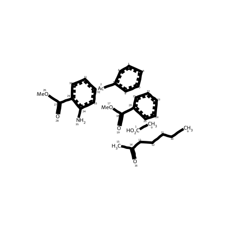 CC(=O)O.CC(=O)c1ccccc1.CCCCCC(C)=O.COC(=O)c1ccccc1.COC(=O)c1ccccc1N